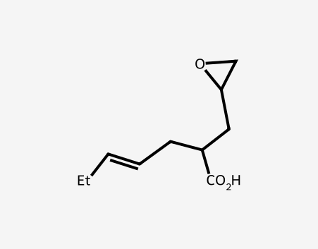 CCC=CCC(CC1CO1)C(=O)O